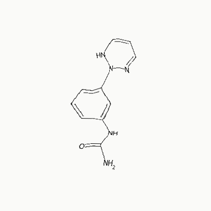 NC(=O)Nc1cccc(N2N=CC=CN2)c1